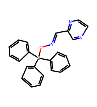 C(=NO[Si](c1ccccc1)(c1ccccc1)c1ccccc1)c1cnccn1